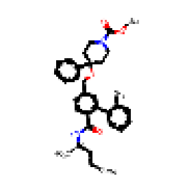 CSCC[C@H](NC(=O)c1ccc(COC2(c3ccccc3)CCN(C(=O)OC(C)(C)C)CC2)cc1-c1ccccc1C)C(=O)O